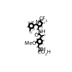 COc1cc(C(C)C(=O)NCc2ccc(C(F)(F)F)nc2-c2cccc(C)c2)ccc1CNC(=O)O